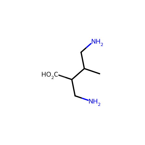 CC(CN)C(CN)C(=O)O